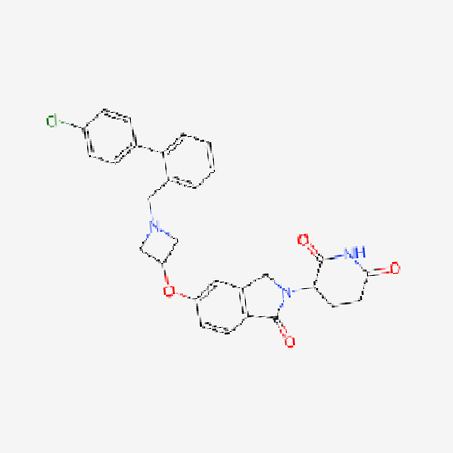 O=C1CCC(N2Cc3cc(OC4CN(Cc5ccccc5-c5ccc(Cl)cc5)C4)ccc3C2=O)C(=O)N1